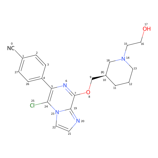 N#Cc1ccc(-c2nc(OC[C@@H]3CCCN(CCO)C3)c3nccn3c2Cl)cc1